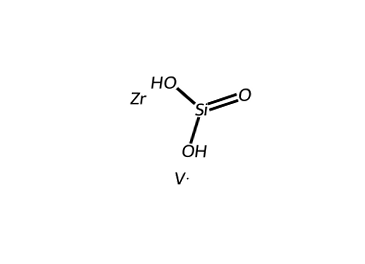 O=[Si](O)O.[V].[Zr]